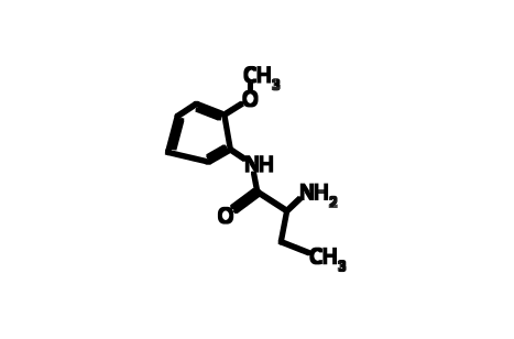 CCC(N)C(=O)Nc1ccccc1OC